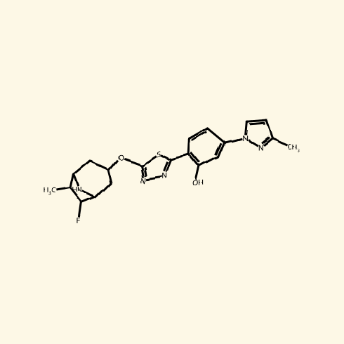 Cc1ccn(-c2ccc(-c3nnc(OC4CC5NC(C4)C(F)C5C)s3)c(O)c2)n1